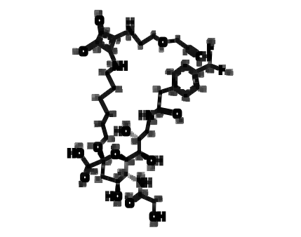 C#CCOCCNc1c(NCCCCCCO[C@]2(C(=O)O)C[C@H](O)[C@@H](NC(=O)CO)[C@H]([C@H](O)[C@H](O)CNC(=O)Cc3ccc(C(F)F)cc3)O2)c(=O)c1=O